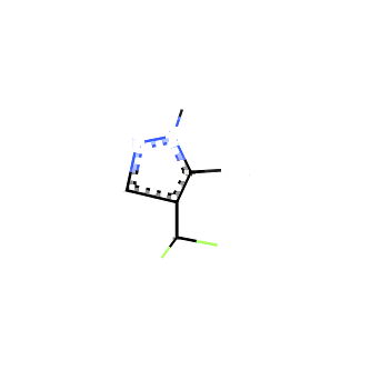 CC(C)n1ncc(C(F)F)c1C(C)(C)C